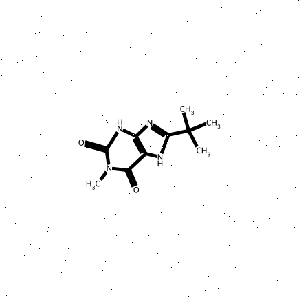 Cn1c(=O)[nH]c2nc(C(C)(C)C)[nH]c2c1=O